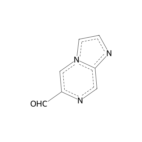 O=Cc1cn2ccnc2cn1